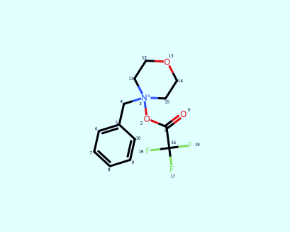 O=C(O[N+]1(Cc2ccccc2)CCOCC1)C(F)(F)F